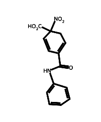 O=C(Nc1ccccc1)C1=CCC(C(=O)O)([N+](=O)[O-])C=C1